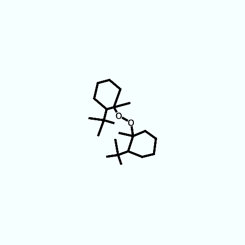 CC(C)(C)C1CCCCC1(C)OOC1(C)CCCCC1C(C)(C)C